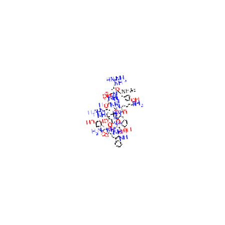 CC(=O)N[C@@H](Cc1ccc(O)cc1)C(=O)N[C@@H](CCCNC(=N)N)C(=O)N[C@@H](CO)C(=O)N[C@@H](CCCNC(=N)N)C(=O)N[C@@H](CCCCN)C(=O)N[C@@H](Cc1ccc(O)cc1)C(=O)N[C@H](C(=O)N[C@@H](CO)C(=O)N[C@@H](Cc1c[nH]c2ccccc12)C(=O)N[C@@H](Cc1ccc(O)cc1)C(N)=O)[C@@H](C)O